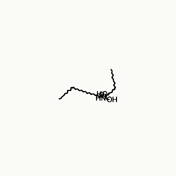 CCCCCCCC/C=C\CCCCCCCCCCCCCC(=O)NC(CO)C(O)/C=C/CC/C=C\CCCCCCCCC